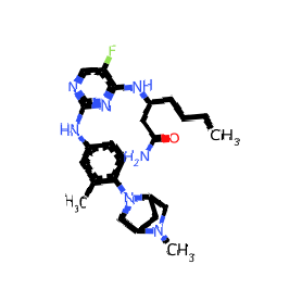 CCCCC(CC(N)=O)Nc1nc(Nc2ccc(N3CC4CC3CN4C)c(C)c2)ncc1F